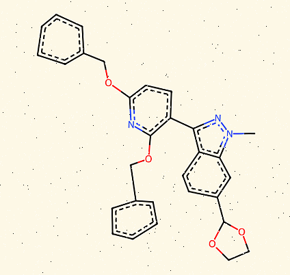 Cn1nc(-c2ccc(OCc3ccccc3)nc2OCc2ccccc2)c2ccc(C3OCCO3)cc21